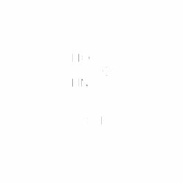 C/C=C/NC(=O)O